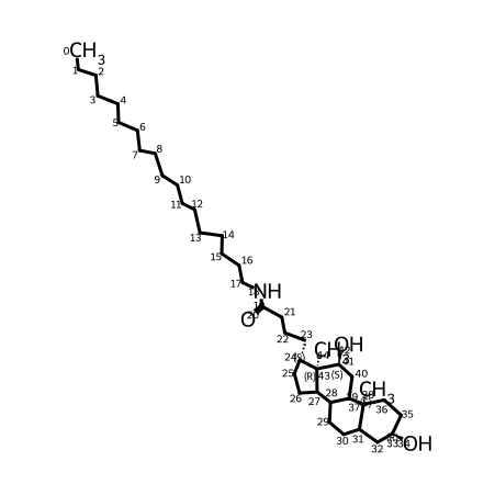 CCCCCCCCCCCCCCCCCCNC(=O)CCC[C@H]1CCC2C3CCC4C[C@H](O)CC[C@]4(C)C3C[C@H](O)[C@@]21C